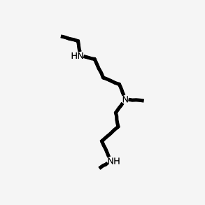 CCNCCCN(C)CCCNC